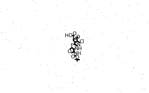 CC(C)(C)OC(=O)N[C@H]1COCC[C@H]1Nc1nc(Cl)c2c(c1F)CN(C(=O)O)C2=O